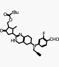 C#CCN(c1ccc(C=O)c(F)c1)C1CCC2=C(CNC(C3CC(=O)C(COC(=O)C(C)(C)C)C3C)=N2)C1